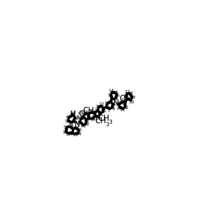 CC1(C)c2cc(-c3ccc4c(c3)c3ccccc3n4-c3cccc4c3oc3ccccc34)ccc2-c2cc3c(cc21)-c1ccc(N(c2ccccc2)c2cccc4ccccc24)cc1C3(C)C